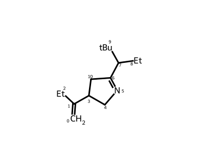 C=C(CC)C1CN=C(C(CC)C(C)(C)C)C1